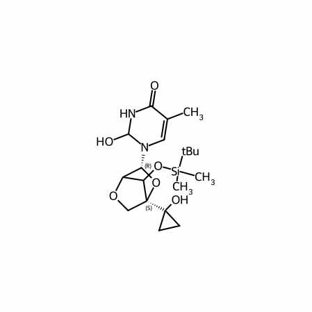 CC1=CN([C@@H]2O[C@@]3(C4(O)CC4)COC2C3O[Si](C)(C)C(C)(C)C)C(O)NC1=O